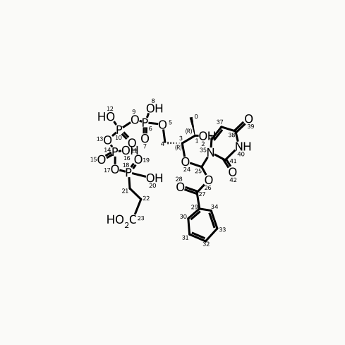 C[C@@H](O)[C@@H](COP(=O)(O)OP(=O)(O)OP(=O)(O)OP(=O)(O)CCC(=O)O)OC(OC(=O)c1ccccc1)n1ccc(=O)[nH]c1=O